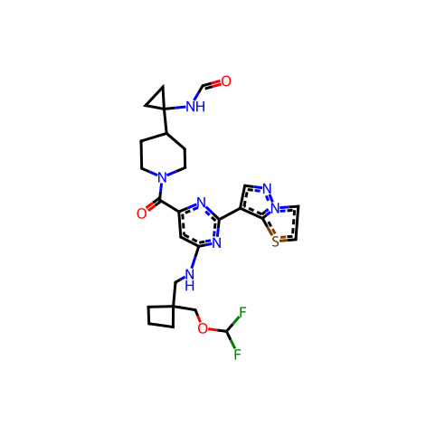 O=CNC1(C2CCN(C(=O)c3cc(NCC4(COC(F)F)CCC4)nc(-c4cnn5ccsc45)n3)CC2)CC1